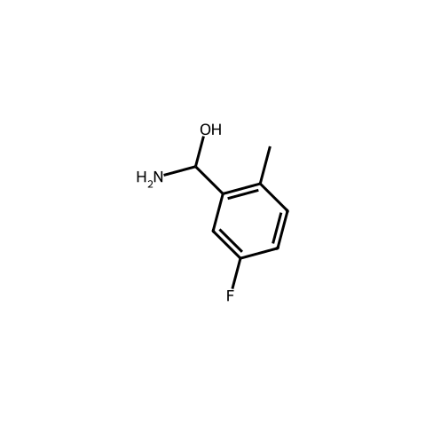 Cc1ccc(F)cc1C(N)O